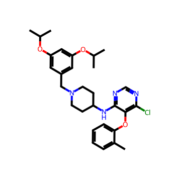 Cc1ccccc1Oc1c(Cl)ncnc1NC1CCN(Cc2cc(OC(C)C)cc(OC(C)C)c2)CC1